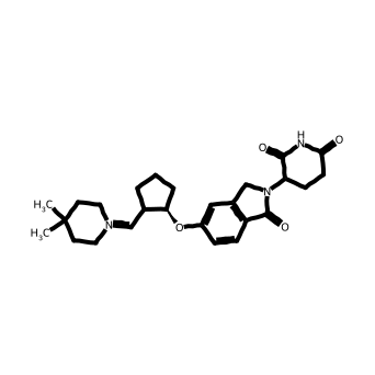 CC1(C)CC[N+](=CC2CCC[C@H]2Oc2ccc3c(c2)CN(C2CCC(=O)NC2=O)C3=O)CC1